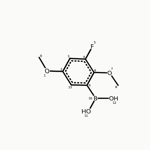 COc1cc(F)c(OC)c(B(O)O)c1